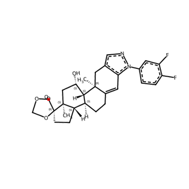 C[C@]12Cc3cnn(-c4ccc(F)c(F)c4)c3C=C1CC[C@@H]1[C@@H]2[C@@H](O)C[C@@]2(C)[C@H]1CC[C@@]21OCOC12COCO2